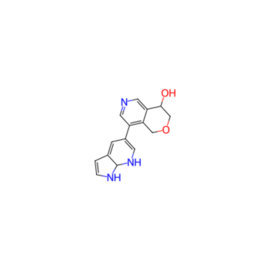 OC1COCc2c(C3=CNC4NC=CC4=C3)cncc21